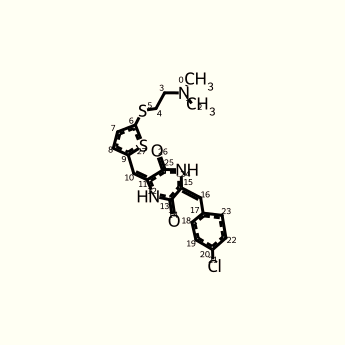 CN(C)CCSc1ccc(C=c2[nH]c(=O)c(=Cc3ccc(Cl)cc3)[nH]c2=O)s1